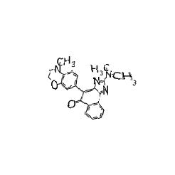 CN(C)C1=NC2=C(c3ccc4c(c3)OCCN4C)C(=O)c3ccccc3C2=N1